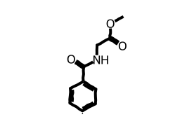 COC(=O)CNC(=O)c1cc[c]cc1